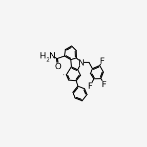 NC(=O)c1cccc2c1c1[c]cc(-c3ccccc3)cc1n2Cc1cc(F)c(F)cc1F